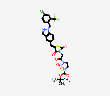 CC(C)(C)OC(=O)N1CCN(C(=O)CN2C(=O)S/C(=C\c3ccc4c(cnn4Cc4ccc(Cl)cc4C(F)(F)F)c3)C2=O)S1(=O)=O